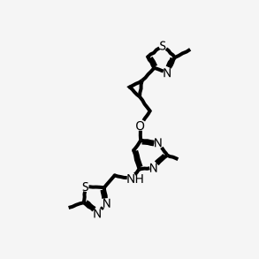 Cc1nc(NCc2nnc(C)s2)cc(OCC2CC2c2csc(C)n2)n1